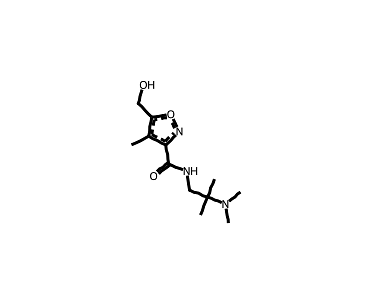 Cc1c(C(=O)NCC(C)(C)N(C)C)noc1CO